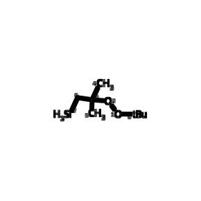 CC(C)(C)OOC(C)(C)C[SiH3]